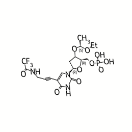 CCO[C@H](C)OC1C[C@H](n2cc(C#CCNC(=O)C(F)(F)F)c(=O)[nH]c2=O)O[C@@H]1COP(=O)(O)O